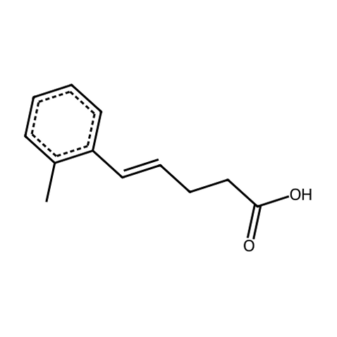 Cc1ccccc1C=CCCC(=O)O